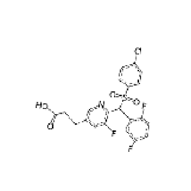 O=C(O)CCc1cnc(C(c2cc(F)ccc2F)S(=O)(=O)c2ccc(Cl)cc2)c(F)c1